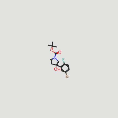 CC(C)(C)OC(=O)N1CC[C@](O)(c2cc(Br)ccc2F)C1